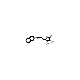 O=C1OC(CCC#Cc2ccc3ccccc3c2)C(O)=C1O